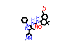 COCc1ccc2c(c1)[C@@H](NC(=O)Nc1c(C)c(-c3cnn(C)c3)nn1-c1ccccc1)[C@H](O)CC2(C)C